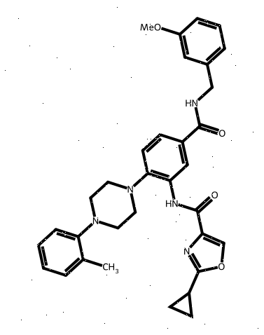 COc1cccc(CNC(=O)c2ccc(N3CCN(c4ccccc4C)CC3)c(NC(=O)c3coc(C4CC4)n3)c2)c1